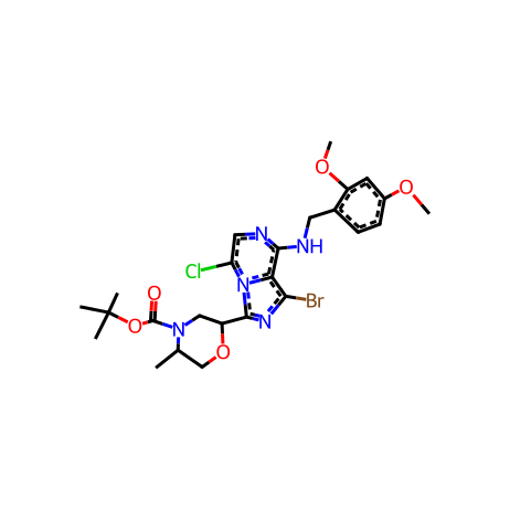 COc1ccc(CNc2ncc(Cl)n3c(C4CN(C(=O)OC(C)(C)C)C(C)CO4)nc(Br)c23)c(OC)c1